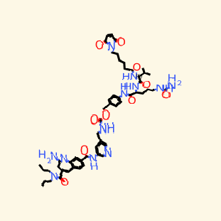 CCCN(CCC)C(=O)C1=Cc2ccc(C(=O)Nc3cncc(CNC(=O)OCc4ccc(NC(=O)C(CCCNC(N)=O)NC(=O)[C@@H](NC(=O)CCCCCN5C(=O)C=CC5=O)C(C)C)cc4)c3)cc2N=C(N)C1